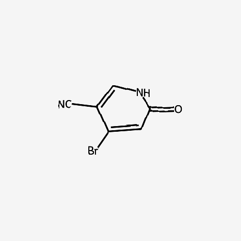 N#Cc1c[nH]c(=O)cc1Br